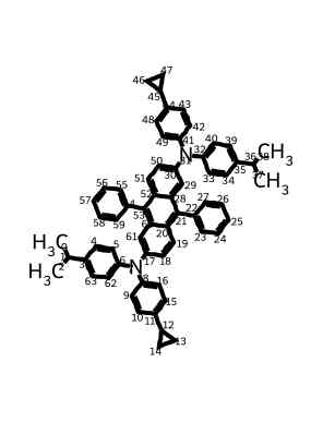 CC(C)c1ccc(N(c2ccc(C3CC3)cc2)c2ccc3c(-c4ccccc4)c4cc(N(c5ccc(C(C)C)cc5)c5ccc(C6CC6)cc5)ccc4c(-c4ccccc4)c3c2)cc1